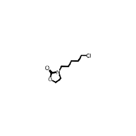 O=C1OCCN1CCCCCCl